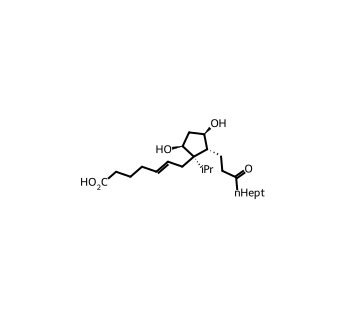 CCCCCCCC(=O)CC[C@H]1[C@H](O)C[C@H](O)[C@@]1(CC=CCCCC(=O)O)C(C)C